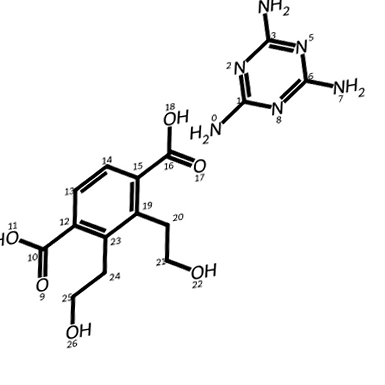 Nc1nc(N)nc(N)n1.O=C(O)c1ccc(C(=O)O)c(CCO)c1CCO